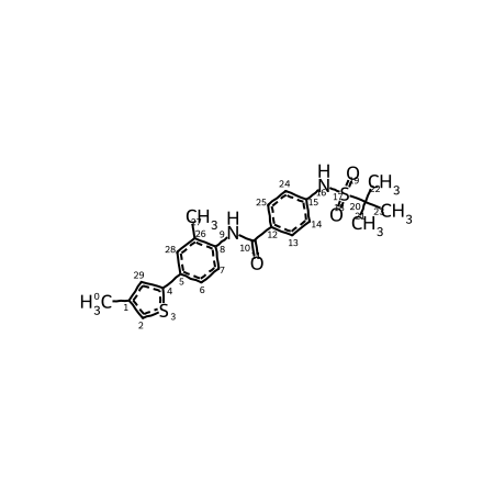 Cc1csc(-c2ccc(NC(=O)c3ccc(NS(=O)(=O)C(C)(C)C)cc3)c(C)c2)c1